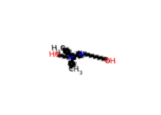 Cc1ccc(-c2cc(-c3cc[n+](CCCCCCCCCCCO)cc3)cc(-c3ccc(C)cc3)[n+]2CCCCCO)cc1